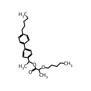 CCCCCOC(C)C(=O)OC(C)c1ccc(-c2ccc(CCCCC)cc2)cc1